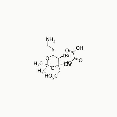 CC1(C)O[C@@H](CCN)[C@@H](C(C)(C)C)[C@](CC(=O)O)(C(C)(C)C)O1.O=C(O)C(=O)O